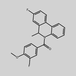 COc1ccc(C(=O)N2c3ccccc3-c3ccc(F)cc3C2C)cc1F